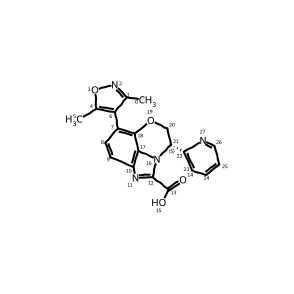 Cc1noc(C)c1-c1ccc2nc(C(=O)O)n3c2c1OC[C@@H]3c1ccccn1